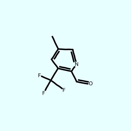 Cc1cnc(C=O)c(C(F)(F)F)c1